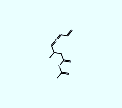 C=CC=C=CC(C)CC(=C)SC(=C)C